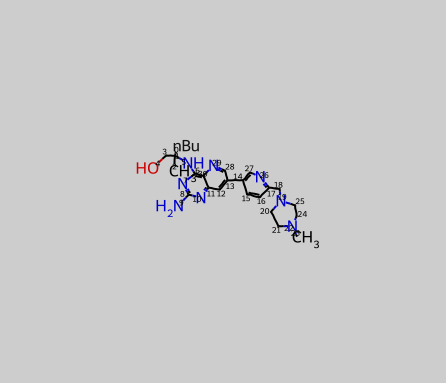 CCCCC(C)(CO)Nc1nc(N)nc2cc(-c3ccc(CN4CCN(C)CC4)nc3)cnc12